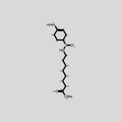 CCCCCCC1=CCC([S+]([O-])NCCCCCCCC(=O)OC)CC1